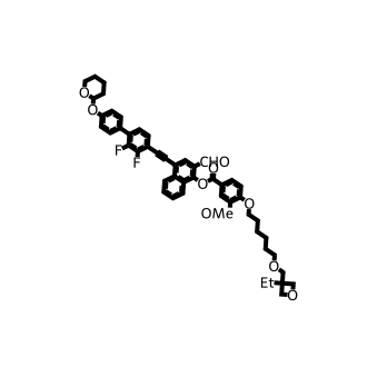 CCC1(COCCCCCCOc2ccc(C(=O)Oc3c(C=O)cc(C#Cc4ccc(-c5ccc(OC6CCCCO6)cc5)c(F)c4F)c4ccccc34)cc2OC)COC1